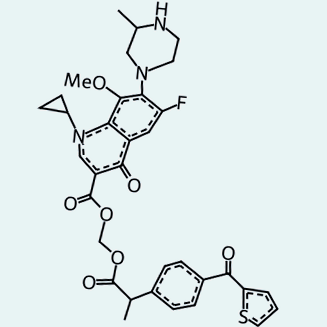 COc1c(N2CCNC(C)C2)c(F)cc2c(=O)c(C(=O)OCOC(=O)C(C)c3ccc(C(=O)c4cccs4)cc3)cn(C3CC3)c12